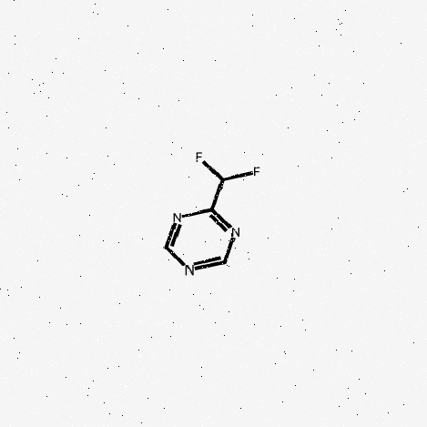 FC(F)c1ncncn1